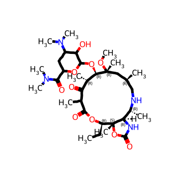 CC[C@H]1OC(=O)C(C)C(=O)[C@H](C)[C@@H](OC2OC(C(=O)N(C)C)CC(N(C)C)C2O)[C@](C)(OC)C[C@@H](C)CN[C@H](C)[C@H]2NC(=O)O[C@@]21C